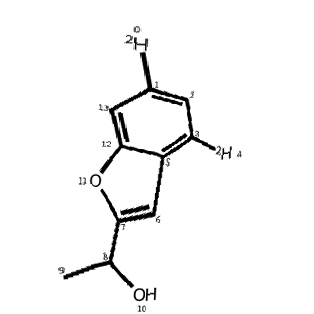 [2H]c1cc([2H])c2cc(C(C)O)oc2c1